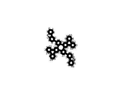 c1ccc2c(c1)sc1ccc(-c3ccc4c(c3)-c3cc5c6ccccc6c6ccccc6c5cc3-c3ccc(-c5ccc6sc7ccccc7c6c5)cc3-c3cc5c6ccccc6c6ccccc6c5cc3-4)cc12